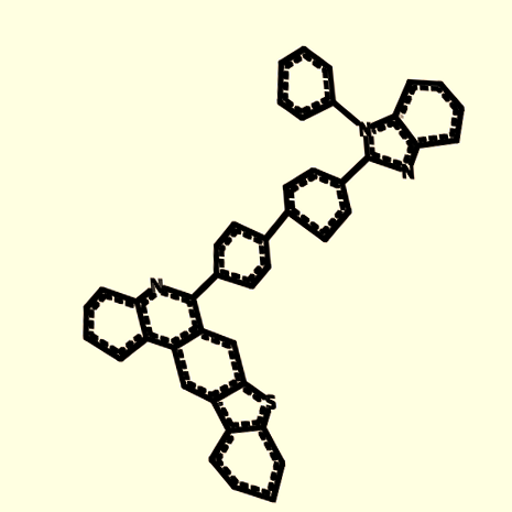 c1ccc(-n2c(-c3ccc(-c4ccc(-c5nc6ccccc6c6cc7c(cc56)sc5ccccc57)cc4)cc3)nc3ccccc32)cc1